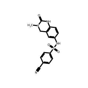 CN1Cc2cc(NS(=O)(=O)c3ccc(C#N)cc3)ccc2NC1=O